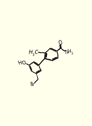 Cc1cc(C(N)=O)ccc1-c1cc(O)cc(CBr)c1